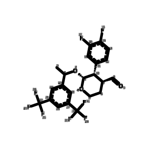 CC(O[C@H]1OCC[C@H](C=O)[C@H]1c1ccc(F)c(F)c1)c1cc(C(F)(F)F)cc(C(F)(F)F)c1